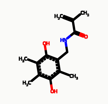 C=C(C)C(=O)NCc1c(C)c(O)c(C)c(C)c1O